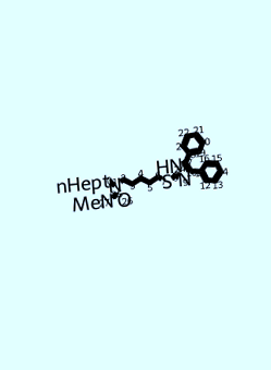 CCCCCCCN(CCCCCSc1nc(-c2ccccc2)c(-c2ccccc2)[nH]1)C(=O)NC